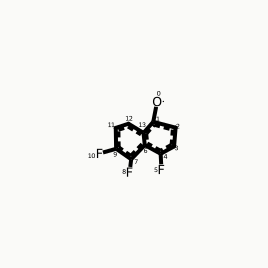 [O]c1ccc(F)c2c(F)c(F)ccc12